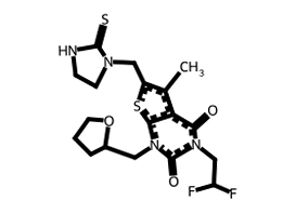 Cc1c(CN2CCNC2=S)sc2c1c(=O)n(CC(F)F)c(=O)n2CC1CCCO1